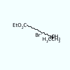 CCOC(=O)CCCCCCCCCCCCCCC[N+](C)(C)C.[Br-]